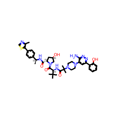 Cc1ncsc1-c1ccc([C@H](C)NC(=O)[C@@H]2C[C@@H](O)CN2C(=O)[C@@H](NC(=O)C(C)(C)N2CCN(c3cc(-c4ccccc4O)nnc3N)CC2)C(C)(C)C)cc1